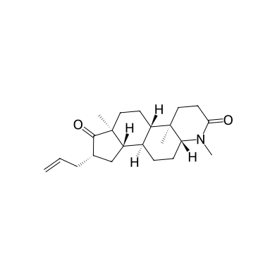 C=CC[C@H]1C[C@H]2[C@@H]3CC[C@H]4N(C)C(=O)CC[C@]4(C)[C@H]3CC[C@]2(C)C1=O